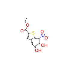 CCOC(=O)c1cc2cc(O)c(O)c([N+](=O)[O-])c2s1